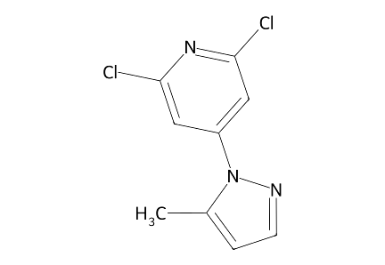 Cc1ccnn1-c1cc(Cl)nc(Cl)c1